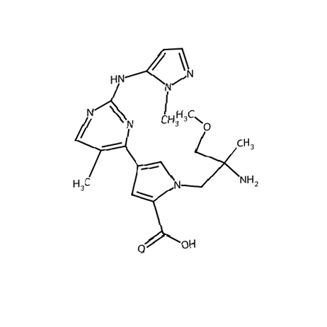 COCC(C)(N)Cn1cc(-c2nc(Nc3ccnn3C)ncc2C)cc1C(=O)O